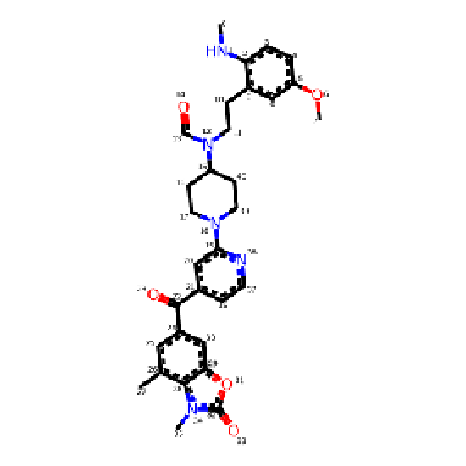 CNc1ccc(OC)cc1CCN(C=O)C1CCN(c2cc(C(=O)c3cc(C)c4c(c3)oc(=O)n4C)ccn2)CC1